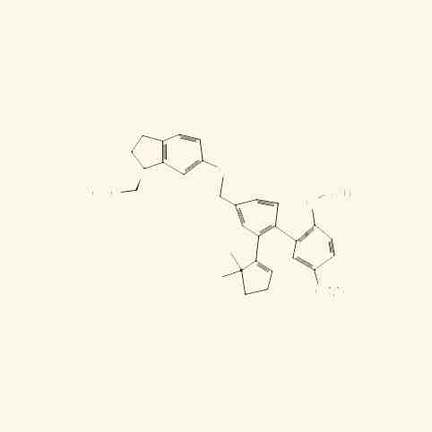 CCCCOc1ccc(OC)cc1-c1ccc(COc2ccc3c(c2)[C@@H](CC(=O)O)CC3)cc1C1=CCCC1(C)C